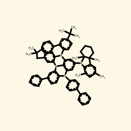 Cc1cc(C)c2c(c1)C1(C)CCCCC1(C)N2c1cc2c3c(c1)N(c1ccc(C(C)(C)C)cc1-c1ccccc1)c1cc4c(cc1B3c1cc(-c3ccccc3)ccc1N2c1ccc(-c2ccccc2)cc1)CC(C)(C)C4